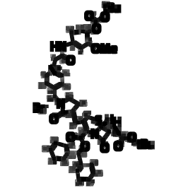 COc1cc(NC(=O)C[n+]2ccc(CN3CCC(=CC4=C(C(=O)OC(c5ccccc5)c5ccccc5)N5C(=O)[C@@H](NC(=O)OC(C)(C)C)[C@H]5SC4)C3=O)cc2)ccc1OC(=O)OC(C)(C)C.[Br-]